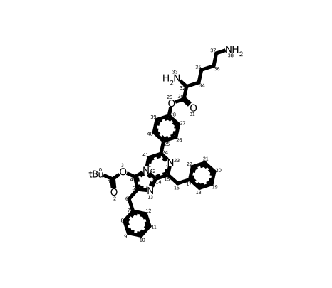 CC(C)(C)C(=O)Oc1c(Cc2ccccc2)nc2c(Cc3ccccc3)nc(-c3ccc(OC(=O)C(N)CCCCN)cc3)cn12